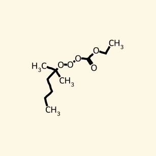 CCCCC(C)(C)OOOC(=O)OCC